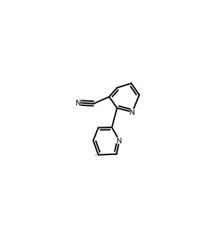 N#Cc1cccnc1-c1cc[c]cn1